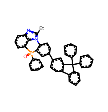 CCc1nc2cccc3c2n1-c1ccc(-c2ccc4c(c2)C(c2ccccc2)(c2ccccc2)c2ccccc2-4)cc1P3(=O)c1ccccc1